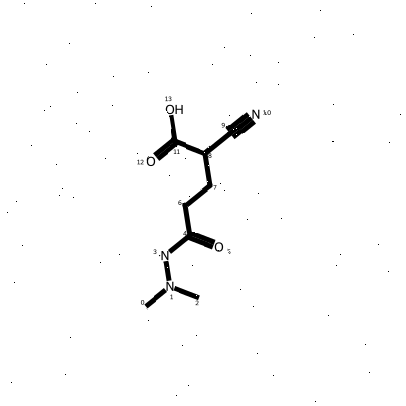 CN(C)[N]C(=O)CCC(C#N)C(=O)O